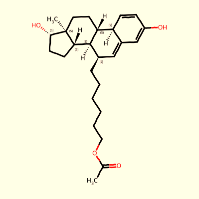 CC(=O)OCCCCCC[C@@H]1C=C2C=C(O)C=C[C@@H]2[C@H]2CC[C@]3(C)[C@@H](O)CC[C@H]3[C@@H]21